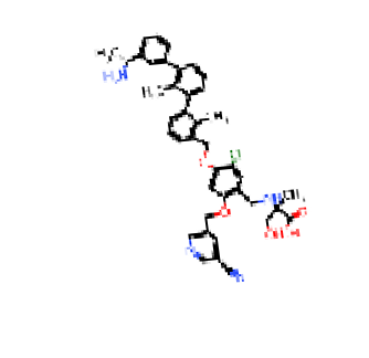 Cc1c(COc2cc(OCc3cncc(C#N)c3)c(CNC(C)(CO)C(=O)O)cc2Cl)cccc1-c1cccc(-c2cccc([C@@H](C)N)c2)c1C